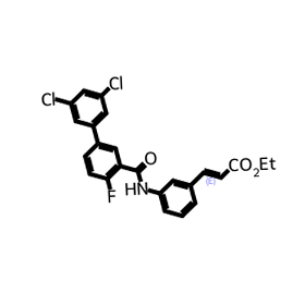 CCOC(=O)/C=C/c1cccc(NC(=O)c2cc(-c3cc(Cl)cc(Cl)c3)ccc2F)c1